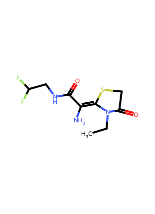 CCN1C(=O)CS/C1=C(/N)C(=O)NCC(F)F